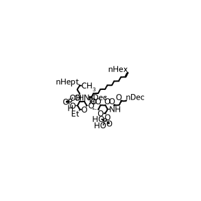 CCCCCC/C=C\CCCCCCCCCC(=O)N[C@H]1[C@H](OC[C@H]2O[C@H](OP(=O)(O)O)[C@H](NC(=O)CC(=O)CCCCCCCCCCC)[C@@H](OCCCCCCCCCC)[C@@H]2O)O[C@H](CC)[C@@H](O[PH](=O)O)[C@@H]1OCC[C@H](C)CCCCCCC